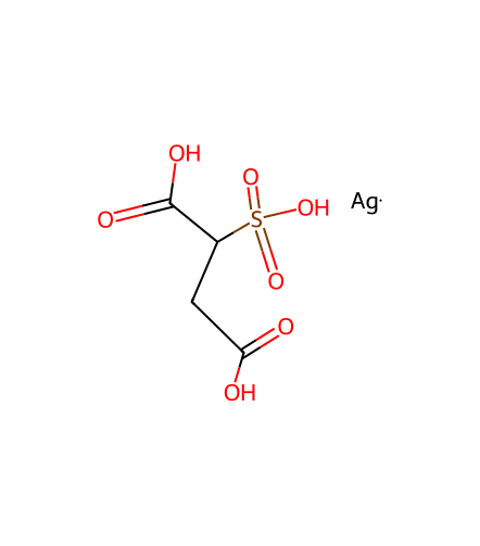 O=C(O)CC(C(=O)O)S(=O)(=O)O.[Ag]